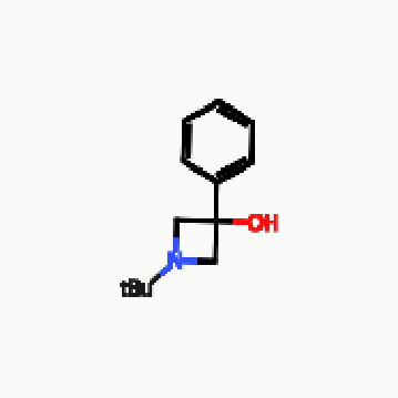 CC(C)(C)N1CC(O)(c2ccccc2)C1